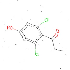 CCC(=O)c1c(Cl)cc(O)cc1Cl